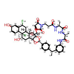 C[C@@H](c1ccc([C@@H]2O[C@@H]3C[C@H]4[C@@H]5C[C@H](F)C6=CC(O)C=C[C@]6(C)[C@@]5(F)[C@@H](O)C[C@]4(C)[C@]3(C(=O)CO)O2)cc1)c1cccc(NC(=O)[C@H](C)NC(=O)[C@H](C)NC(=O)CCN2C(=O)C=CC2=O)c1